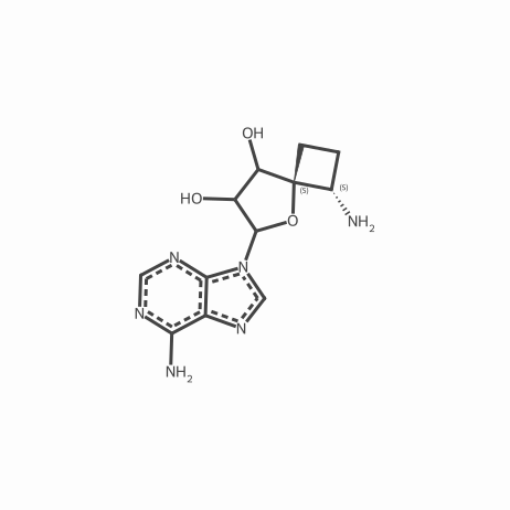 Nc1ncnc2c1ncn2C1O[C@]2(CC[C@@H]2N)C(O)C1O